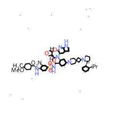 COC1(C)CCC(CNc2ccc(S(=O)(=O)NC(=O)c3ccc(N4CCC5(CC4)CC(N4CCC[C@H]4c4ccccc4C(C)C)C5)cc3N3C[C@@H]4COC[C@H]4Oc4nc5[nH]ccc5cc43)cc2[N+](=O)[O-])CC1